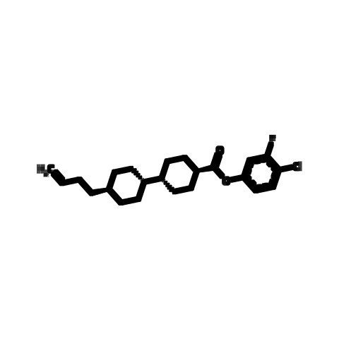 C=CCC[C@H]1CC[C@H]([C@H]2CC[C@H](C(=O)Oc3ccc(Cl)c(F)c3)CC2)CC1